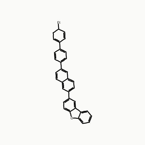 CCC1C=CC(c2ccc(-c3ccc4cc(-c5ccc6oc7ccccc7c6c5)ccc4c3)cc2)=CC1